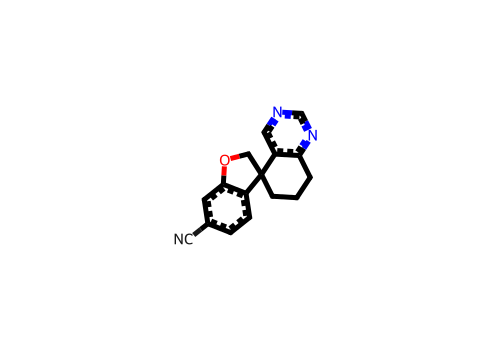 N#Cc1ccc2c(c1)OCC21CCCc2ncncc21